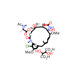 COc1cc2cc(c1Cl)N(C)C(=O)C[C@H](OC(=O)[C@H](C)N(C)C(C)=O)[C@]1(C)O[C@H]1[C@H](C)[C@@H]1C[C@@](O)(NC(=O)O1)C(OC)/C=C/C=C(\C)C2.O=C(O)C(O)C(O)C(=O)O